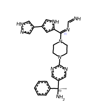 C[C@](N)(c1ccccc1)c1cnc(N2CCN(/C(=N/C=N)c3cc(-c4cn[nH]c4)c[nH]3)CC2)nc1